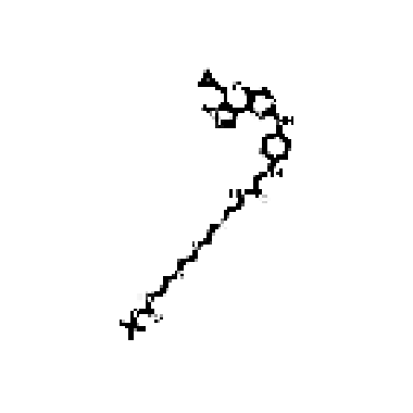 Cn1ncc(-c2nc(NC3CCC(NCC(=O)NCCOCCOCCOCCNC(=O)OC(C)(C)C)CC3)ncc2Cl)c1CC1CC1